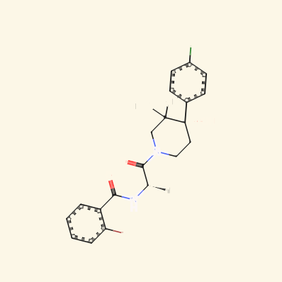 CC(C)[C@@H](NC(=O)c1ccccc1Br)C(=O)N1CC[C@](O)(c2ccc(Cl)cc2)C(C)(C)C1